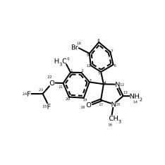 Cc1cc(C2(c3cccc(Br)c3)N=C(N)N(C)C2=O)ccc1OC(F)F